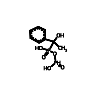 CC(O)(c1ccccc1)P(=O)(O)O[PH](=O)O